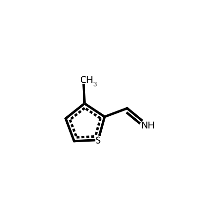 Cc1ccsc1C=N